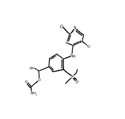 CC(C)(C)C(OC(N)=O)c1ccc(Nc2nc(Cl)ncc2Cl)c(P(C)(C)=O)c1